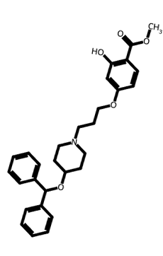 COC(=O)c1ccc(OCCCN2CCC(OC(c3ccccc3)c3ccccc3)CC2)cc1O